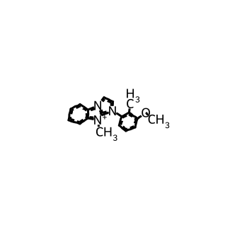 COc1cccc(-n2ccn3c4ccccc4[n+](C)c23)c1C